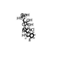 C[C@H](Nc1nc(Cl)nc2c1ncn2C1OC(CCP(=O)(O)O)C(O)C1O)c1ccccc1F